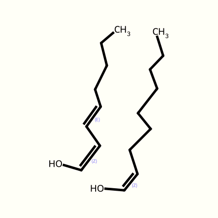 CCCC/C=C/C=C\O.CCCCCCC/C=C\O